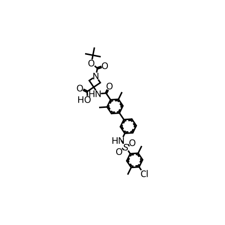 Cc1cc(S(=O)(=O)Nc2cccc(-c3cc(C)c(C(=O)NC4(C(=O)O)CN(C(=O)OC(C)(C)C)C4)c(C)c3)c2)c(C)cc1Cl